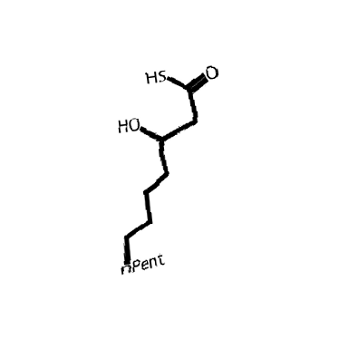 CCCCCCCCCC(O)CC(=O)S